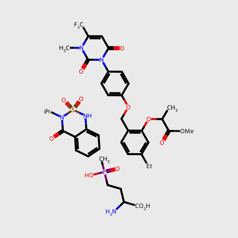 CC(C)N1C(=O)c2ccccc2NS1(=O)=O.CCc1ccc(COc2ccc(-n3c(=O)cc(C(F)(F)F)n(C)c3=O)cc2)c(OC(C)C(=O)OC)c1.CP(=O)(O)CCC(N)C(=O)O